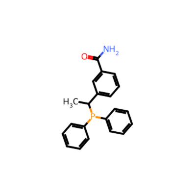 CC(c1cccc(C(N)=O)c1)P(c1ccccc1)c1ccccc1